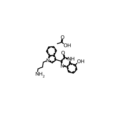 CC(=O)O.NCCCn1cc(-c2nc3cccc(O)c3[nH]c2=O)c2ccccc21